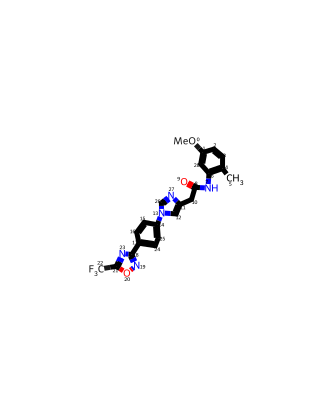 COc1ccc(C)c(NC(=O)Cc2cn(-c3ccc(-c4noc(C(F)(F)F)n4)cc3)cn2)c1